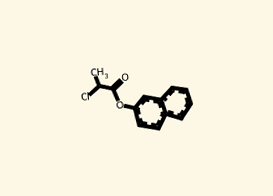 CC(Cl)C(=O)Oc1ccc2ccccc2c1